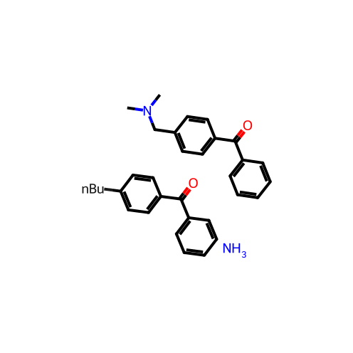 CC[CH]Cc1ccc(C(=O)c2ccccc2)cc1.CN(C)Cc1ccc(C(=O)c2ccccc2)cc1.N